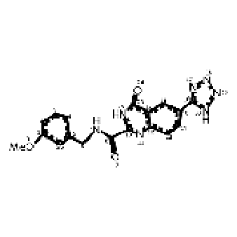 COc1cccc(CNC(=O)c2nc3ccc(-c4nnn[nH]4)cc3c(=O)[nH]2)c1